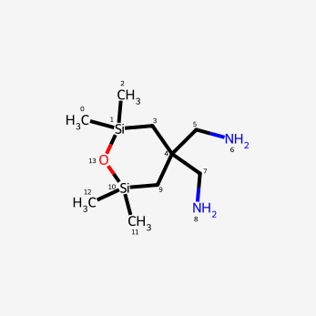 C[Si]1(C)CC(CN)(CN)C[Si](C)(C)O1